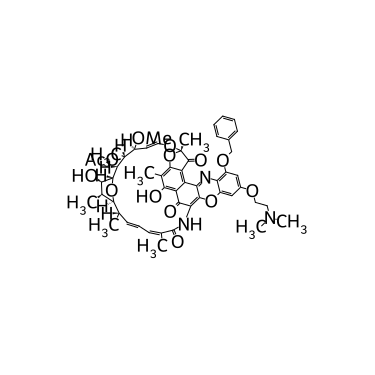 CO[C@H]1/C=C/O[C@@]2(C)Oc3c(C)c(O)c4c(=O)c(c5oc6cc(OCCN(C)C)cc(OCc7ccccc7)c6nc-5c4c3C2=O)NC(=O)/C(C)=C\C=C\[C@H](C)[C@@H]2O[C@H]([C@H](O)[C@@H]2C)[C@H](OC(C)=O)[C@@H]1C